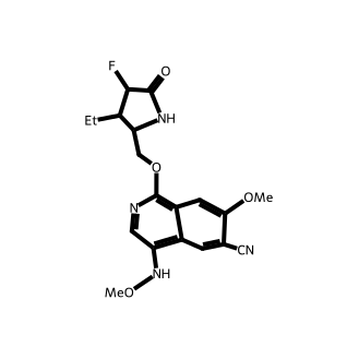 CCC1C(COc2ncc(NOC)c3cc(C#N)c(OC)cc23)NC(=O)C1F